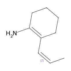 C/C=C\C1=C(N)CCCC1